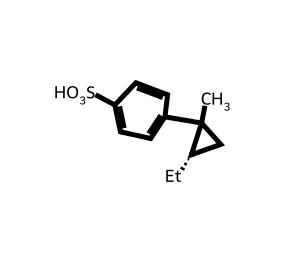 CC[C@H]1CC1(C)c1ccc(S(=O)(=O)O)cc1